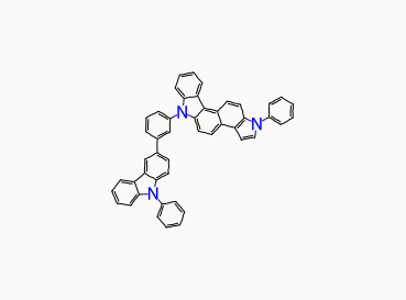 c1ccc(-n2ccc3c4ccc5c(c4ccc32)c2ccccc2n5-c2cccc(-c3ccc4c(c3)c3ccccc3n4-c3ccccc3)c2)cc1